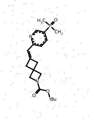 CC(C)(C)OC(=O)N1CC2(CC(=Cc3ccc(P(C)(C)=O)cn3)C2)C1